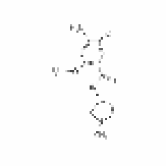 COc1cc(N)c(Cl)cc1C(=O)NC1CCN(C)C1